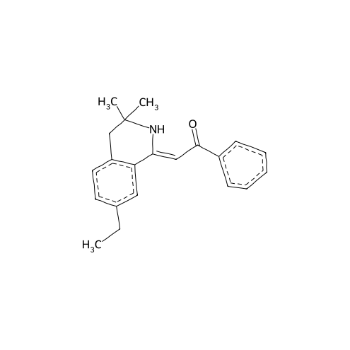 CCc1ccc2c(c1)C(=CC(=O)c1ccccc1)NC(C)(C)C2